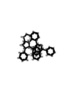 c1ccc(-c2nc(-c3cccc4c3N3C(=NC(c5ccccc5)C3c3ccccc3)SC4)nc3ccccc23)cc1